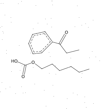 CCC(=O)c1ccccc1.CCCCCCOC(=O)O